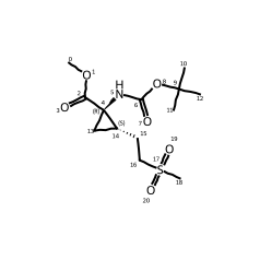 COC(=O)[C@@]1(NC(=O)OC(C)(C)C)C[C@H]1CCS(C)(=O)=O